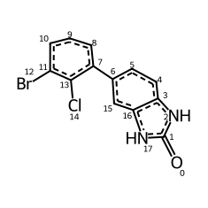 O=c1[nH]c2ccc(-c3cccc(Br)c3Cl)cc2[nH]1